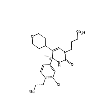 CC(C)(C)CCc1ccc([C@]2(C)NC(=O)N(CCCC(=O)O)C=C2C2CCOCC2)cc1Cl